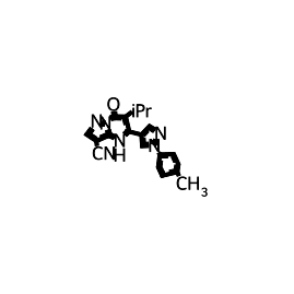 Cc1ccc(-n2cc(-c3[nH]c4c(C#N)cnn4c(=O)c3C(C)C)cn2)cc1